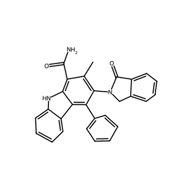 Cc1c(N2Cc3ccccc3C2=O)c(-c2ccccc2)c2c([nH]c3ccccc32)c1C(N)=O